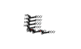 CCCCS[S][Sn+3].CCCCS[S][Sn+3].O=C([O-])CCCCCCCC(=O)OCCS.O=C([O-])CCCCCCCC(=O)OCCS.O=C([O-])CCCCCCCC(=O)OCCS.O=C([O-])CCCCCCCC(=O)OCCS.O=C([O-])CCCCCCCC(=O)OCCS.O=C([O-])CCCCCCCC(=O)OCCS